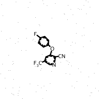 N#Cc1ncc(C(F)(F)F)cc1Oc1ccc(F)cc1